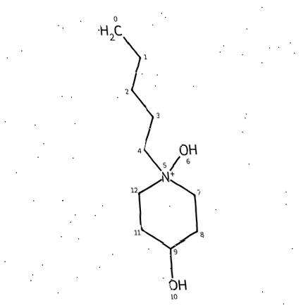 [CH2]CCCC[N+]1(O)CCC(O)CC1